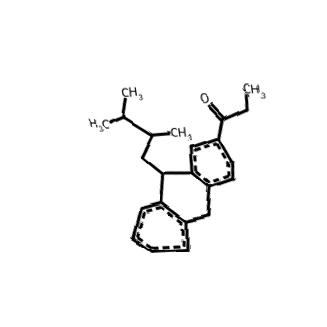 CCC(=O)c1ccc2c(c1)C(CC(C)C(C)C)c1ccccc1C2